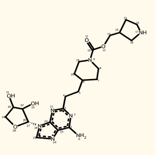 Nc1nc(CCC2CCN(C(=O)OCC3CCNC3)CC2)nc2c1ncn2[C@@H]1OCC(O)C1O